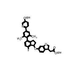 COC(=O)CC1COc2cc(OC3CCc4c(-c5c(C)cc(-c6ccc(OC)cn6)cc5C)ccc(F)c43)ccc21